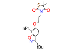 CCCc1c(OCCCN2C(=O)SC(C)(C)C2=O)ccc2c(CC(C)(C)C)noc12